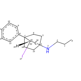 CCCNC12CCC(c3ccccc3)(CC1)[C@@H](I)C2